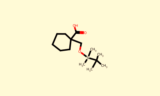 CC(C)(C)[Si](C)(C)OCC1(C(=O)O)CCCCC1